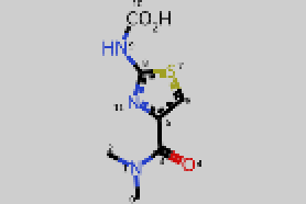 CN(C)C(=O)c1csc(NC(=O)O)n1